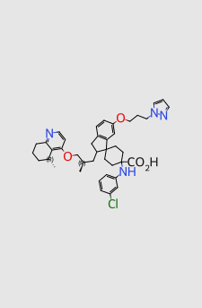 C[C@@H](COc1ccnc2c1[C@H](C)CCC2)CC1Cc2ccc(OCCCn3cccn3)cc2C12CCC(Nc1cccc(Cl)c1)(C(=O)O)CC2